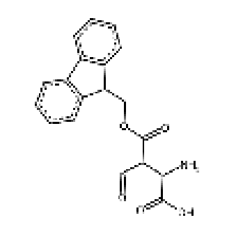 NC(C(=O)O)C(C=O)C(=O)OCC1c2ccccc2-c2ccccc21